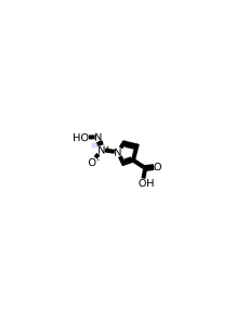 O=C(O)c1ccn(/[N+]([O-])=N/O)c1